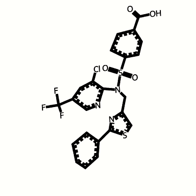 O=C(O)c1ccc(S(=O)(=O)N(Cc2csc(-c3ccccc3)n2)c2ncc(C(F)(F)F)cc2Cl)cc1